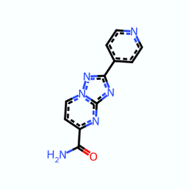 NC(=O)c1ccn2nc(-c3ccncc3)nc2n1